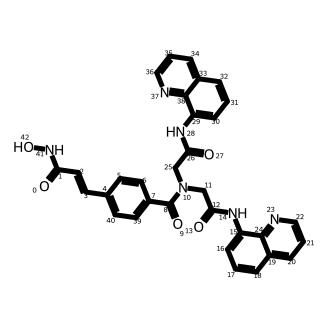 O=C(C=Cc1ccc(C(=O)N(CC(=O)Nc2cccc3cccnc23)CC(=O)Nc2cccc3cccnc23)cc1)NO